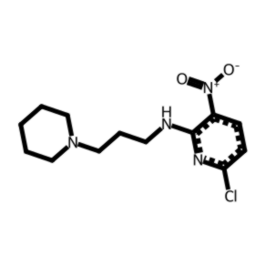 O=[N+]([O-])c1ccc(Cl)nc1NCCCN1CCCCC1